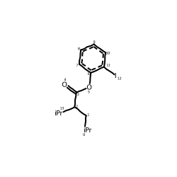 CC(C)CC(C(=O)Oc1ccccc1I)C(C)C